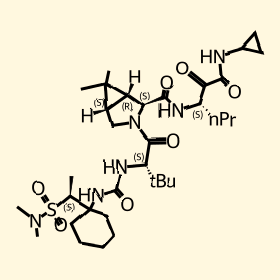 CCC[C@H](NC(=O)[C@@H]1[C@@H]2[C@H](CN1C(=O)[C@@H](NC(=O)NC1([C@H](C)S(=O)(=O)N(C)C)CCCCC1)C(C)(C)C)C2(C)C)C(=O)C(=O)NC1CC1